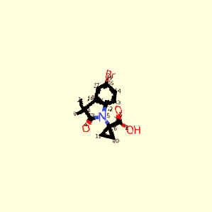 CC1(C)C(=O)N(C2(C(=O)O)CC2)c2ccc(Br)cc21